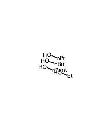 CCCCCO.CCCCO.CCCO.CCO